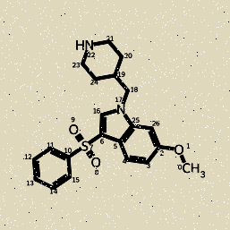 COc1ccc2c(S(=O)(=O)c3ccccc3)cn(CC3CCNCC3)c2c1